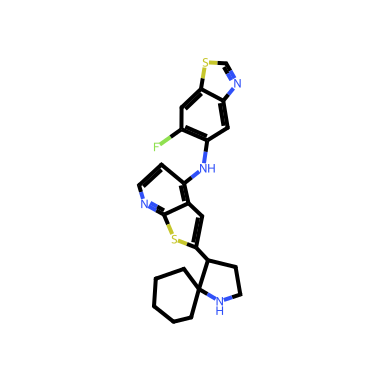 Fc1cc2scnc2cc1Nc1ccnc2sc(C3CCNC34CCCCC4)cc12